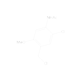 COc1cc(NC(C)=O)c(Cl)cc1CCl